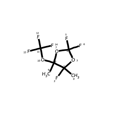 CC1(F)OC(F)(F)OC1(C)OC(F)(F)F